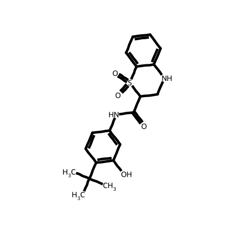 CC(C)(C)c1ccc(NC(=O)C2CNc3ccccc3S2(=O)=O)cc1O